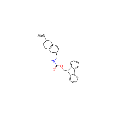 CNC1CCc2cc(CN(C)C(=O)OCC3c4ccccc4-c4ccccc43)ccc2C1